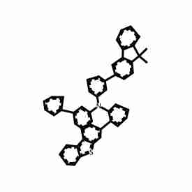 CC1(C)c2ccccc2-c2cc(-c3cccc(N(c4cccc(-c5ccccc5)c4)c4ccccc4-c4ccc5c(c4)sc4ccccc45)c3)ccc21